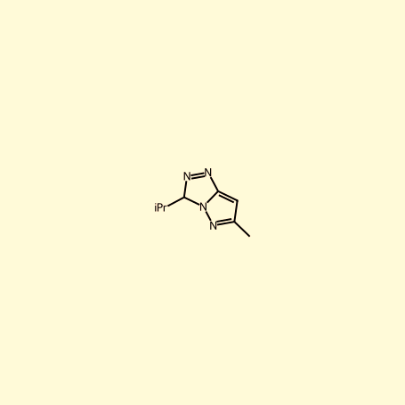 Cc1cc2n(n1)C(C(C)C)N=N2